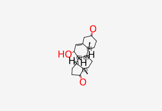 C[C@]12CCC(=O)CC1=CC(O)[C@@H]1[C@H]2CC[C@]2(C)C(=O)CC[C@@H]12